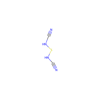 N#CNSNC#N